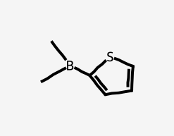 CB(C)c1cccs1